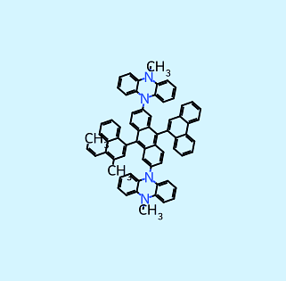 C/C=C\c1c(C)cc(-c2c3cc(N4c5ccccc5N(C)c5ccccc54)ccc3c(-c3cc4ccccc4c4ccccc34)c3cc(N4c5ccccc5N(C)c5ccccc54)ccc23)c2ccccc12